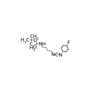 CC(C)(C)OC(=O)NCCCCN=C=Nc1ccc(F)cc1